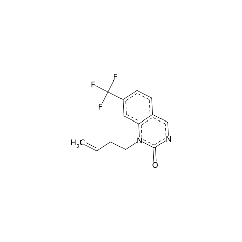 C=CCCn1c(=O)ncc2ccc(C(F)(F)F)cc21